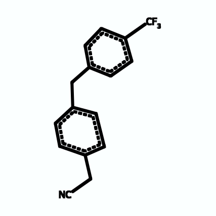 N#CCc1ccc(Cc2ccc(C(F)(F)F)cc2)cc1